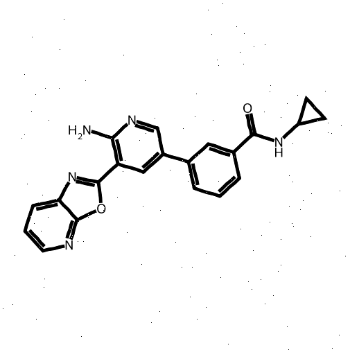 Nc1ncc(-c2cccc(C(=O)NC3CC3)c2)cc1-c1nc2cccnc2o1